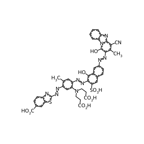 Cc1cc(N=Nc2c(S(=O)(=O)O)cc3ccc(N=Nc4c(C)c(C#N)c5nc6ccccc6n5c4O)cc3c2O)c(N(CCC(=O)O)CCC(=O)O)cc1N=Nc1nc2ccc(C(=O)O)cc2s1